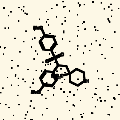 CCOC(=O)C1(CC(c2ccc(OC)cc2)S(=O)(=O)c2ccc(OC)cc2)CCNCC1